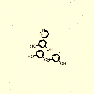 Oc1cccc(O)c1.Oc1cccc(O)c1.Oc1cccc(O)c1.c1cnnnc1